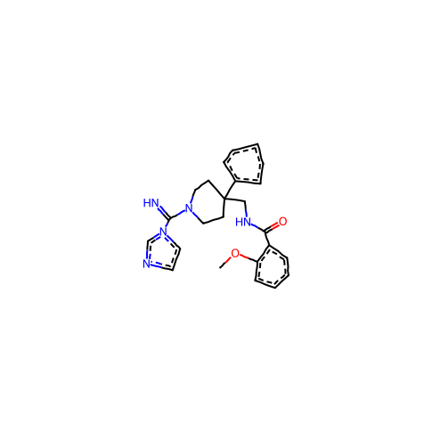 COc1ccccc1C(=O)NCC1(c2ccccc2)CCN(C(=N)n2ccnc2)CC1